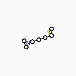 c1ccc2c(c1)sc1c(-c3ccc(-c4ccc(-c5ccc(-n6c7ccccc7c7ccccc76)cc5)cc4)cc3)cccc12